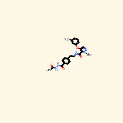 CCCC(=O)NNC(=O)c1ccc(CCNC(=O)c2c(Oc3cccc(C(F)(F)F)c3)cnn2C(C)(C)C)cc1